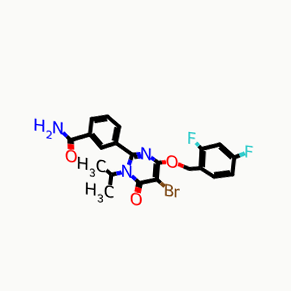 CC(C)n1c(-c2cccc(C(N)=O)c2)nc(OCc2ccc(F)cc2F)c(Br)c1=O